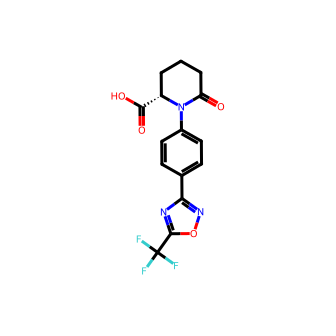 O=C(O)[C@@H]1CCCC(=O)N1c1ccc(-c2noc(C(F)(F)F)n2)cc1